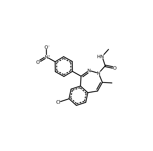 CNC(=O)N1N=C(c2ccc([N+](=O)[O-])cc2)c2cc(Cl)ccc2C=C1C